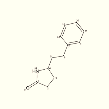 O=C1CCC(CCc2ccccc2)N1